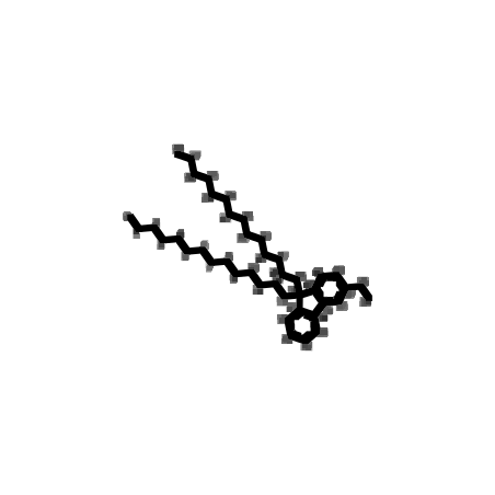 CCCCCCCCCCCCCCC1(CCCCCCCCCCCCCC)c2ccccc2-c2cc(CC)ccc21